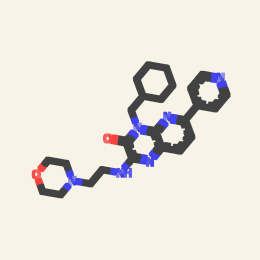 O=c1c(NCCN2CCOCC2)nc2ccc(-c3ccncc3)nc2n1CC1CCCCC1